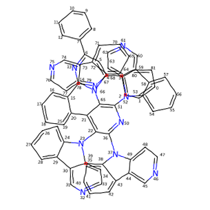 c1ccc(-c2cc(-c3ccccc3)nc(-c3ccccc3-c3c(-n4c5ccccc5c5cnccc54)c(-n4c5ccccc5c5cnccc54)nc(-n4c5ccccc5c5cnccc54)c3-n3c4ccccc4c4cnccc43)n2)cc1